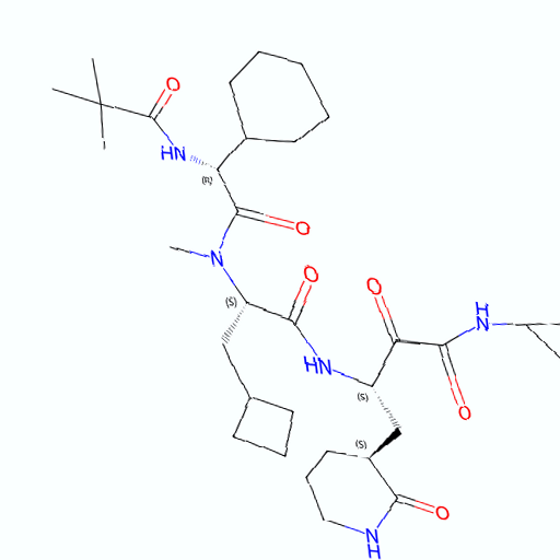 CN(C(=O)[C@H](NC(=O)C(C)(C)C)C1CCCCC1)[C@@H](CC1CCC1)C(=O)N[C@@H](C[C@@H]1CCCNC1=O)C(=O)C(=O)NC1CC1